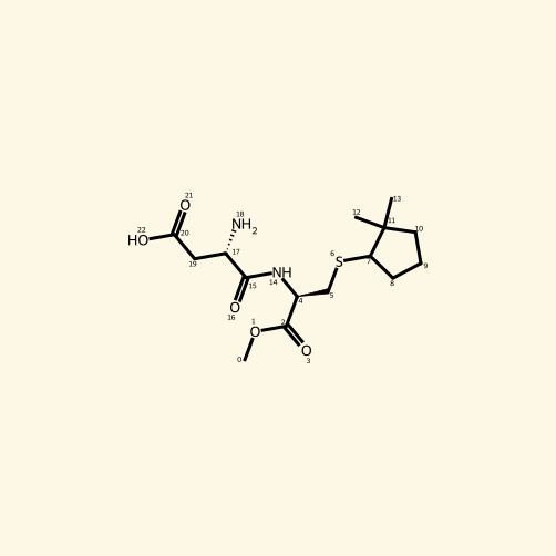 COC(=O)[C@H](CSC1CCCC1(C)C)NC(=O)[C@@H](N)CC(=O)O